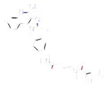 C=C(C)C(=O)NCCOC(=O)NCc1ccc(Cn2c(CC)nc3c(N)nc4ccccc4c32)cc1